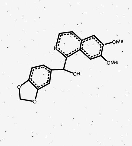 COc1cc2ccnc(C(O)c3ccc4c(c3)OCO4)c2cc1OC